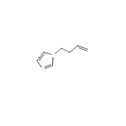 C=CCCn1ccnc1